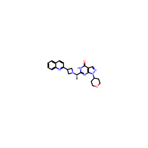 C[C@H](c1nc2c(cnn2C2CCOCC2)c(=O)[nH]1)N1CC(c2ccc3ccccc3n2)C1